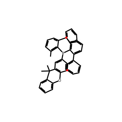 Cc1cccc(-c2ccccc2)c1B(c1ccc2c(c1)C(C)(C)c1ccccc1O2)c1c(C)cccc1-c1ccccc1